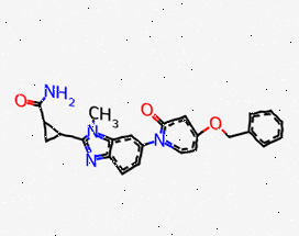 Cn1c(C2CC2C(N)=O)nc2ccc(-n3ccc(OCc4ccccc4)cc3=O)cc21